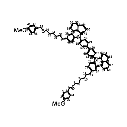 COc1ccc(CSCCCCCCc2ccc(N(c3ccc(-c4ccc(N(c5ccc(CCCCCCSCc6ccc(OC)cc6)cc5)c5cccc6ccccc56)cc4)cc3)c3cccc4ccccc34)cc2)cc1